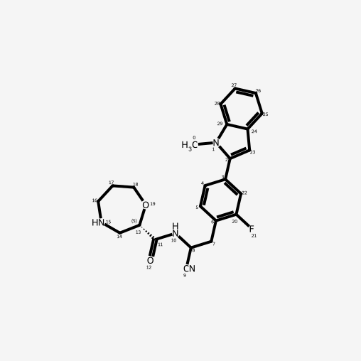 Cn1c(-c2ccc(CC(C#N)NC(=O)[C@@H]3CNCCCO3)c(F)c2)cc2ccccc21